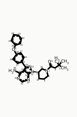 CC(C)(C)CC(=O)N1CCC[C@@H](n2nc(-c3ccc(Oc4ccccc4)cc3)c3c(N)ncnc32)C1